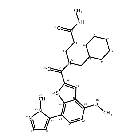 CNC(=O)CCN(CC1CCCCC1)C(=O)c1cc2c(OC)ccc(-c3ccnn3C)c2s1